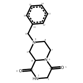 O=C1NCC(=O)N2CCN(Cc3ccccc3)CC12